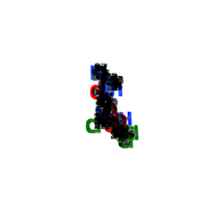 O=C(NCC(c1cccnc1)N1CCCC1)c1ccc(Oc2ncc(Cl)cc2NS(=O)(=O)c2ccc(Cl)c(Cl)c2)cc1